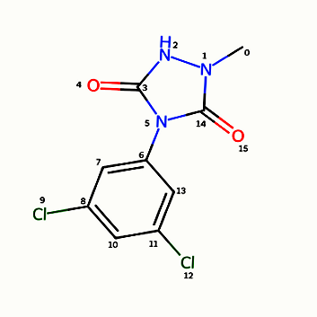 Cn1[nH]c(=O)n(-c2cc(Cl)cc(Cl)c2)c1=O